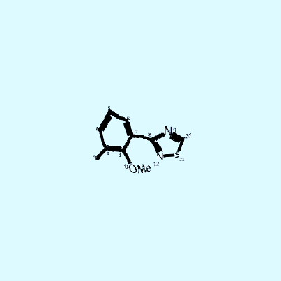 COc1c(C)cccc1-c1ncsn1